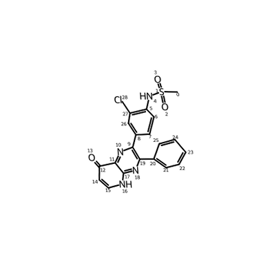 CS(=O)(=O)Nc1ccc(-c2nc3c(=O)cc[nH]c3nc2-c2ccccc2)cc1Cl